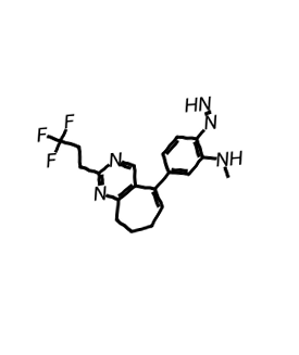 CNc1cc(C2=CCCCc3nc(CCC(F)(F)F)ncc32)ccc1N=N